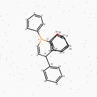 C(=C/P(c1ccccc1)c1ccccc1)/C(c1ccccc1)c1ccccc1